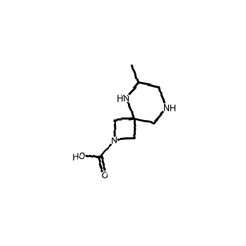 CC1CNCC2(CN(C(=O)O)C2)N1